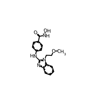 COCCn1c(Nc2ccc(C(=O)NO)cc2)nc2ccccc21